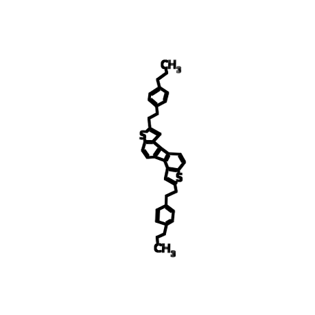 CCCc1ccc(CCc2cc3c4c(ccc3s2)-c2c-4ccc3sc(CCc4ccc(CCC)cc4)cc23)cc1